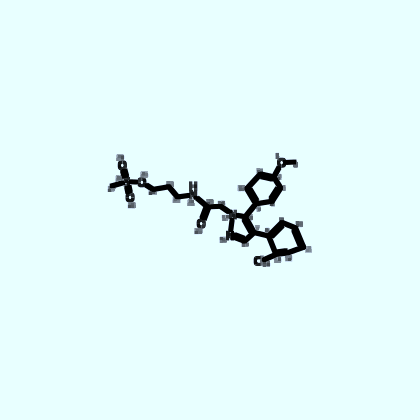 COc1ccc(-c2c(-c3ccccc3Cl)cnn2CC(=O)NCCCOS(C)(=O)=O)cc1